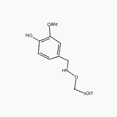 CCCCCCCCCONCc1ccc(O)c(OC)c1